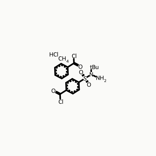 C.CC(C)(C)N(N)S(=O)(=O)c1ccc(C(=O)Cl)cc1.Cl.O=C(Cl)c1ccccc1